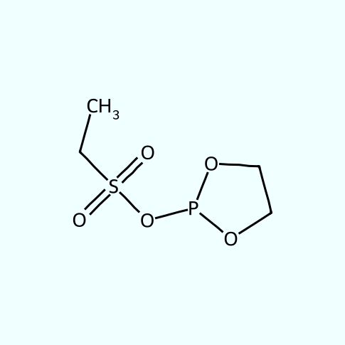 CCS(=O)(=O)OP1OCCO1